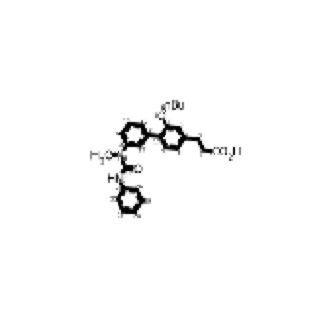 CCCCOc1cc(CCC(=O)O)ccc1-c1cccc(N(C)C(=O)Nc2ccccc2)c1